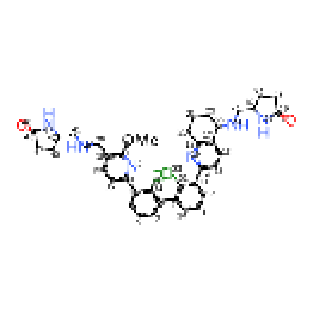 COc1nc(-c2cccc(-c3cccc(-c4ccc5c(n4)CCCC5NCC4CCC(=O)N4)c3Cl)c2Cl)ccc1CNC[C@@H]1CCC(=O)N1